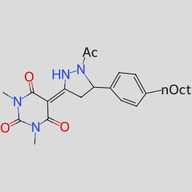 CCCCCCCCc1ccc(C2CC(=C3C(=O)N(C)C(=O)N(C)C3=O)NN2C(C)=O)cc1